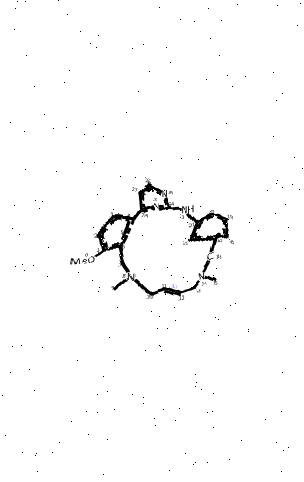 COc1ccc2cc1CN(C)C/C=C/CN(C)Cc1cccc(c1)Nc1nccc-2n1